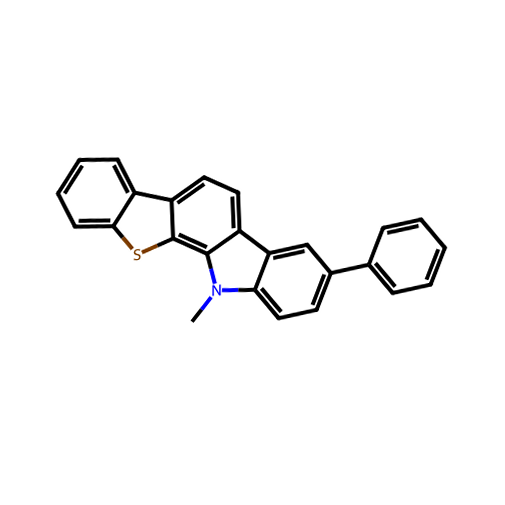 Cn1c2ccc(-c3ccccc3)cc2c2ccc3c4ccccc4sc3c21